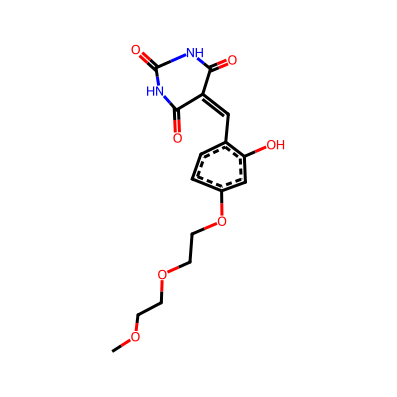 COCCOCCOc1ccc(C=C2C(=O)NC(=O)NC2=O)c(O)c1